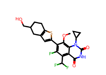 COc1c(-c2cc3c(s2)CCC(CO)C3)c(F)c(C(F)F)c2c(=O)[nH]c(=O)n(C3CC3)c12